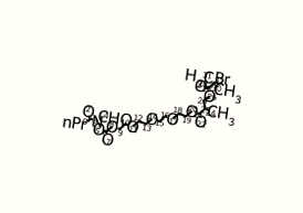 CCCC(=O)N(C=O)OC(=O)OCCOCCOCCOCCOC(=O)C(C)COC(=O)C(C)(C)Br